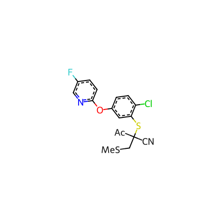 CSCC(C#N)(Sc1cc(Oc2ccc(F)cn2)ccc1Cl)C(C)=O